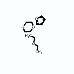 C1COCCO1.CCOCC.c1ccoc1